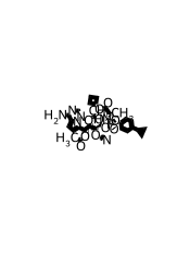 CC(=O)O[C@H]([C@@H](COP(=O)(N[C@@H](C)C(=O)OC1CCC1)Oc1ccc(C2CC2)cc1)OC#N)[C@@H](OC(C)=O)c1ccc2c(N)ncnn12